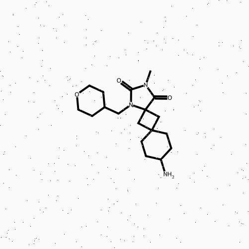 CN1C(=O)N(CC2CCOCC2)C2(CC3(CCC(N)CC3)C2)C1=O